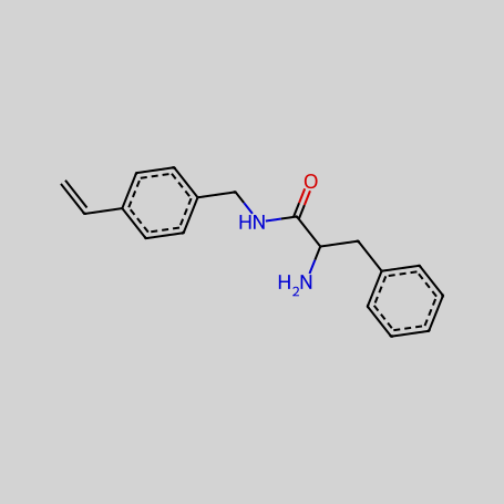 C=Cc1ccc(CNC(=O)C(N)Cc2ccccc2)cc1